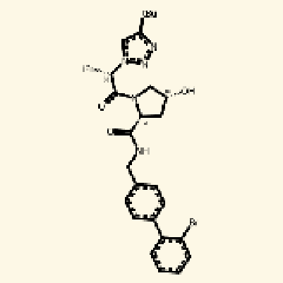 CC(C)[C@@H](C(=O)N1C[C@H](O)C[C@H]1C(=O)NCc1ccc(-c2ccccc2Br)cc1)n1cc(C(C)(C)C)nn1